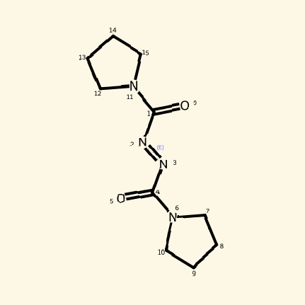 O=C(/N=N/C(=O)N1CCCC1)N1CCCC1